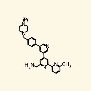 Cc1cccc(-c2cc(-c3cncc(-c4ccc(CN5CCN(C(C)C)CC5)cc4)c3)cc(CN)n2)n1